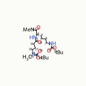 CNC(=O)[C@H](CCCCNC(=O)OC(C)(C)C)NC(=O)CCCN(C)C(=O)OC(C)(C)C